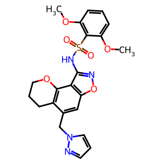 COc1cccc(OC)c1S(=O)(=O)Nc1noc2cc(Cn3cccn3)c3c(c12)OCCC3